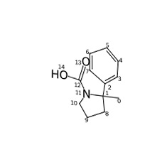 CC1(c2ccccc2)CCCN1C(=O)O